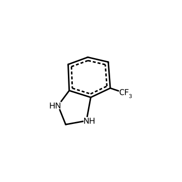 FC(F)(F)c1cccc2c1NCN2